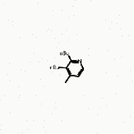 CCCCc1nccc(C)c1CCCC